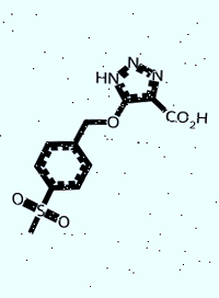 CS(=O)(=O)c1ccc(COc2[nH]nnc2C(=O)O)cc1